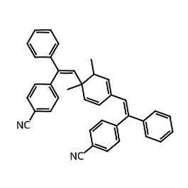 CC1C=C(C=C(c2ccccc2)c2ccc(C#N)cc2)C=CC1(C)C=C(c1ccccc1)c1ccc(C#N)cc1